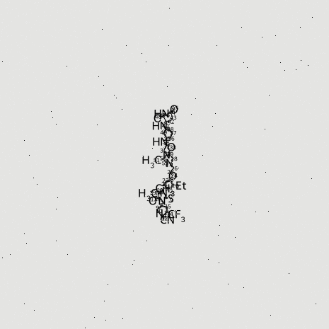 CCc1cc(N2C(=S)N(c3cnc(C#N)c(C(F)(F)F)c3)C(=O)C2(C)C)ccc1OCCN1CCN(CC(=O)Nc2cccc(N[C@H]3CCC(=O)NC3=O)c2)[C@H](C)C1